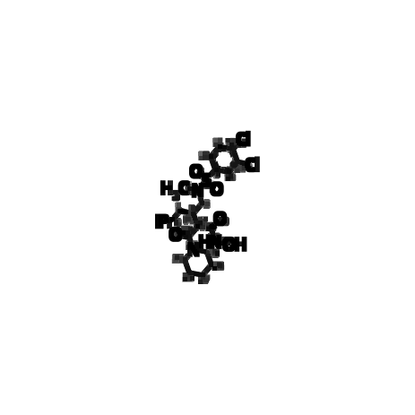 CC(C)C[C@@H](CN(C)S(=O)(=O)c1ccc(Cl)c(Cl)c1)[C@H](C(=O)NO)C(=O)N1CCCCC1